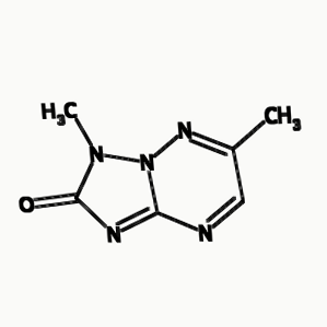 Cc1cnc2nc(=O)n(C)n2n1